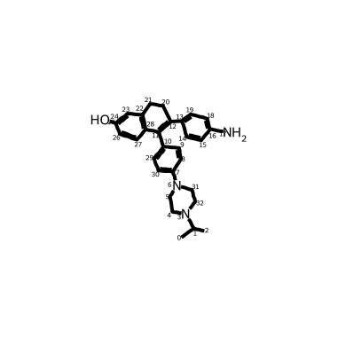 CC(C)N1CCN(c2ccc(C3=C(c4ccc(N)cc4)CCc4cc(O)ccc43)cc2)CC1